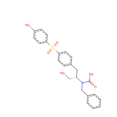 O=C(O)N(Cc1ccccc1)[C@H](CO)Cc1ccc(S(=O)(=O)c2ccc(O)cc2)cc1